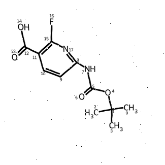 CC(C)(C)OC(=O)Nc1ccc(C(=O)O)c(F)n1